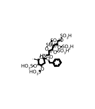 [CH2][C@H]1O[C@](NC(=O)[C@H](OS(=O)(=O)O)[C@@H](OS(=O)(=O)O)[C@H](OS(=O)(=O)O)[C@@H](COS(=O)(=O)O)OS(=O)(=O)O)(OCc2ccccc2)C[C@@H](OS(=O)(=O)O)[C@@H]1OS(=O)(=O)O